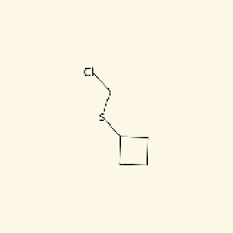 ClCSC1CCC1